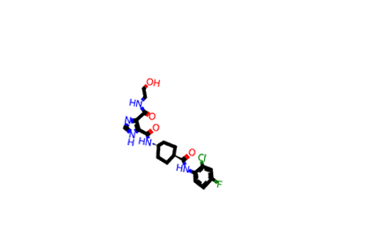 O=C(NCCO)c1nc[nH]c1C(=O)N[C@H]1CC[C@H](C(=O)Nc2ccc(F)cc2Cl)CC1